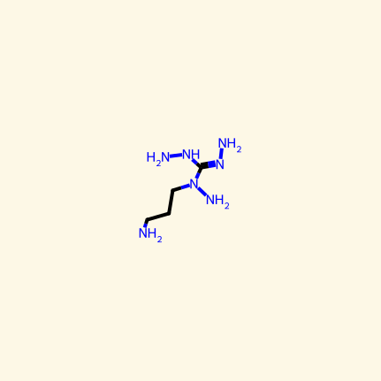 NCCCN(N)/C(=N/N)NN